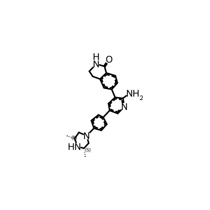 C[C@@H]1CN(c2ccc(-c3cnc(N)c(-c4ccc5c(c4)CCNC5=O)c3)cc2)C[C@H](C)N1